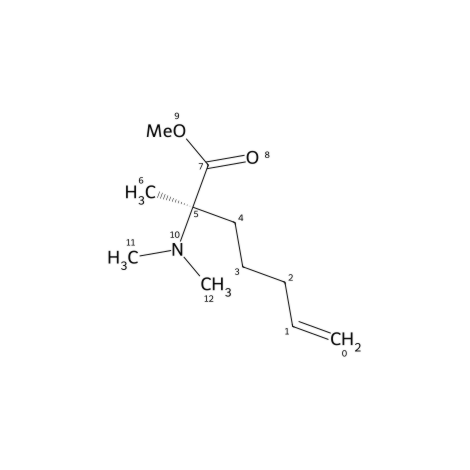 C=CCCC[C@](C)(C(=O)OC)N(C)C